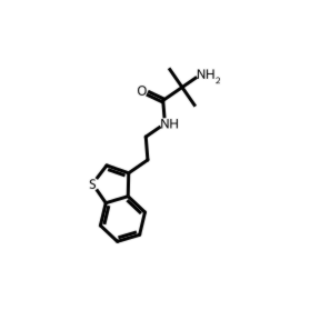 CC(C)(N)C(=O)NCCc1csc2ccccc12